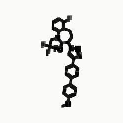 COc1ccc(-c2ccc(-c3cn(C4CCc5c(F)cccc5N(CC(F)(F)F)C4=O)nn3)cc2)cc1